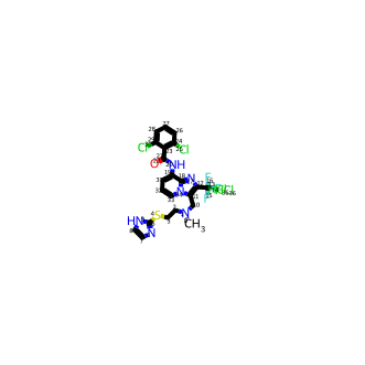 CN(CCSc1ncc[nH]1)Cc1c(C(F)(F)F)nc2c(NC(=O)c3c(Cl)cccc3Cl)cccn12.Cl.Cl